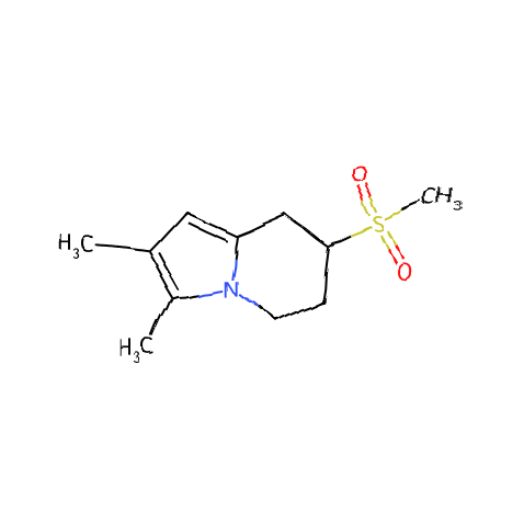 Cc1cc2n(c1C)CCC(S(C)(=O)=O)C2